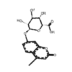 Cc1cc(=O)oc2cc(O[C@@H]3O[C@@H](C(=O)O)[C@@H](O)[C@H](O)[C@H]3O)ccc12